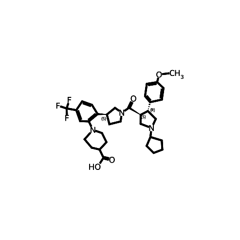 COc1ccc([C@@H]2CN(C3CCCC3)C[C@H]2C(=O)N2CC[C@@H](c3ccc(C(F)(F)F)cc3N3CCC(C(=O)O)CC3)C2)cc1